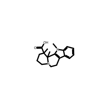 Cn1c2c(c3ccccc31)CCN1CCCC(C)(C(=O)O)C21C